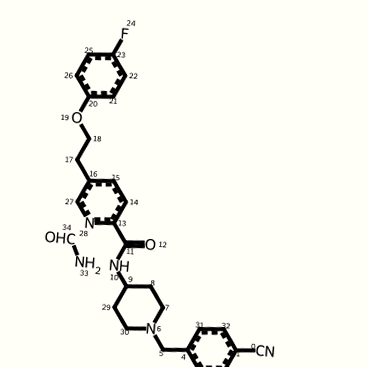 N#Cc1ccc(CN2CCC(NC(=O)c3ccc(CCOc4ccc(F)cc4)cn3)CC2)cc1.NC=O